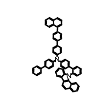 c1ccc(-c2ccc(N(c3ccc(-c4ccc(-c5cccc6ccccc56)cc4)cc3)c3ccc(-c4ccccc4-n4c5ccccc5c5ccc6ccccc6c54)cc3)cc2)cc1